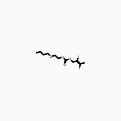 CCCCOCCOC(=O)OCC(I)=C(I)I